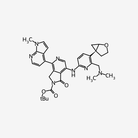 CN(C)Cc1nc(Nc2cnc(-c3ccnc4c3ccn4C)c3c2C(=O)N(C(=O)OC(C)(C)C)C3)ccc1[C@]12CCOC1C2